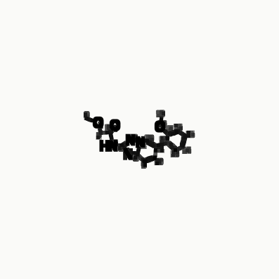 COCC(=O)Nc1nc2ccc(-c3ccccc3OC)cn2n1